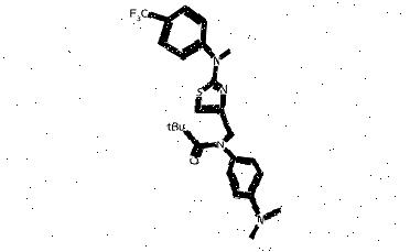 CN(C)c1ccc(N(Cc2csc(N(C)c3ccc(C(F)(F)F)cc3)n2)C(=O)C(C)(C)C)cc1